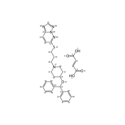 O=C(O)/C=C/C(=O)O.c1ccc(C(OC2CCN(CCCSc3ccc4ncnn4n3)CC2)c2ccccc2)cc1